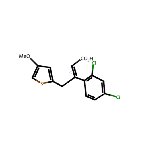 COc1csc(C/C(=C/C(=O)O)c2ccc(Cl)cc2Cl)c1